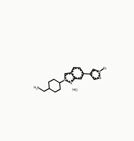 CCn1cc(-c2ccc3cn(C4CCC(CN)CC4)nc3c2)cn1.Cl